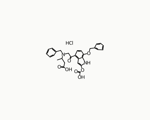 CC(CC(=O)O)N(CC(=O)c1ccc(OCc2ccccc2)c2[nH]c(OC(=O)O)cc12)Cc1ccccc1.Cl